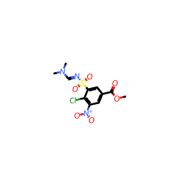 COC(=O)c1cc([N+](=O)[O-])c(Cl)c(S(=O)(=O)/N=C/N(C)C)c1